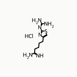 Cl.N=C(N)CCCCc1csc(N=C(N)N)n1